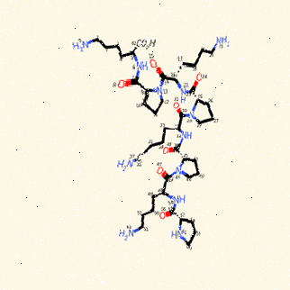 NCCCC[C@H](NC(=O)[C@@H]1CCCN1C(=O)[C@H](CCCCN)NC(=O)[C@@H]1CCCN1C(=O)[C@H](CCCCN)NC(=O)[C@@H]1CCCN1C(=O)[C@H](CCCCN)NC(=O)[C@@H]1CCCN1)C(=O)O